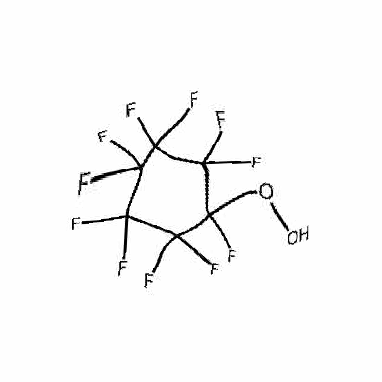 OOC1(F)C(F)(F)C(F)(F)C(F)(F)C(F)(F)C1(F)F